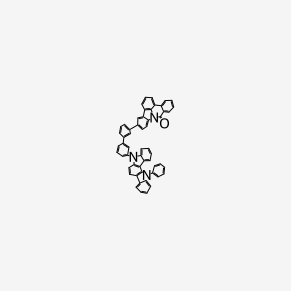 O=c1c2ccccc2c2cccc3c4cc(-c5cccc(-c6cccc(-n7c8ccccc8c8c7ccc7c9ccccc9n(-c9ccccc9)c78)c6)c5)ccc4n1c23